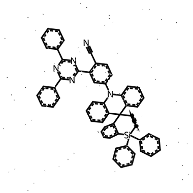 N#Cc1ccc(N2c3ccccc3C3(c4ccccc42)c2ccccc2[Si](c2ccccc2)(c2ccccc2)c2ccccc23)cc1-c1nc(-c2ccccc2)nc(-c2ccccc2)n1